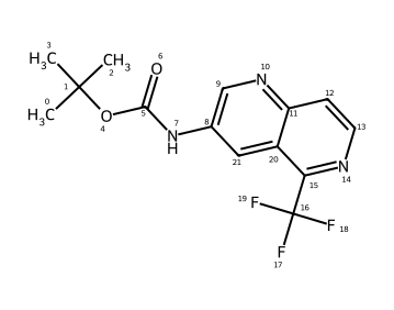 CC(C)(C)OC(=O)Nc1cnc2ccnc(C(F)(F)F)c2c1